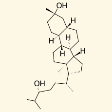 CC(C)[C@H](O)CC[C@@H](C)[C@H]1CC[C@H]2[C@@H]3CC[C@H]4C[C@@](C)(O)CC[C@@H]4[C@H]3CC[C@]12C